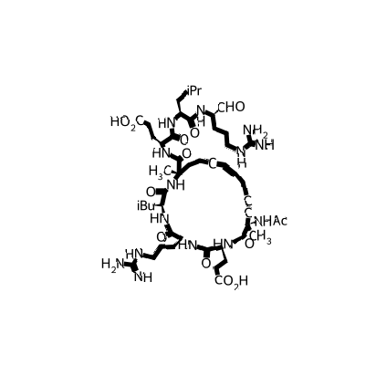 CC[C@H](C)[C@@H]1NC(=O)[C@H](CCCNC(=N)N)NC(=O)[C@H](CCC(=O)O)NC(=O)[C@@](C)(NC(C)=O)CCC/C=C\CCC[C@@](C)(C(=O)N[C@@H](CCC(=O)O)C(=O)N[C@@H](CC(C)C)C(=O)N[C@H](C=O)CCCNC(=N)N)NC1=O